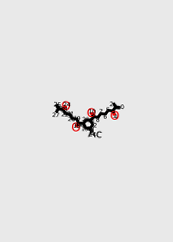 C=C(C)C(=O)CCCCC(=O)C1CC(C(C)=O)CC(C(=O)CCCCC(=O)C(=C)C)C1